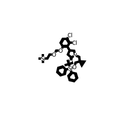 CC(C)(C)[Si](OCC1(CN2CC(c3c(OCOCC[Si](C)(C)C)ccc(Cl)c3Cl)CC2=O)CC1)(c1ccccc1)c1ccccc1